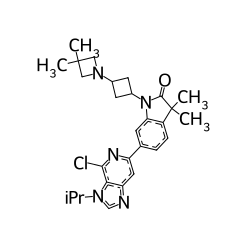 CC(C)n1cnc2cc(-c3ccc4c(c3)N(C3CC(N5CC(C)(C)C5)C3)C(=O)C4(C)C)nc(Cl)c21